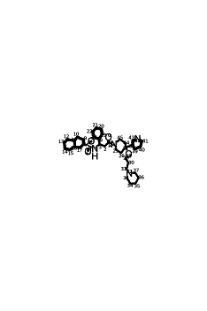 O=C(CC(NS(=O)(=O)c1ccc2ccccc2c1)c1ccccc1)N1CCC(OCCCN2CCCCC2)(c2cccnc2)CC1